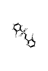 O=S(=O)(C=Cc1ncccc1F)c1ccccc1F